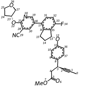 CC#C[C@@H](CC(=O)OC)c1ccc(O[C@@H]2CCc3c(-c4cnc(O[C@@H]5CCOC5)c(C#N)c4)ccc(F)c32)cc1